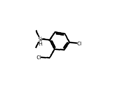 C[SiH](C)c1ccc(Cl)cc1CCl